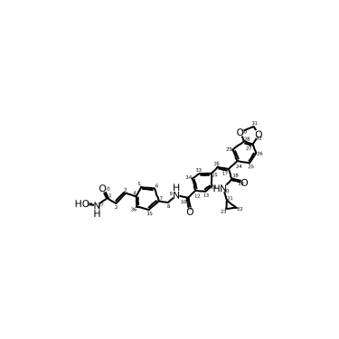 O=C(/C=C/c1ccc(CNC(=O)c2ccc(C=C(C(=O)NC3CC3)c3ccc4c(c3)OCO4)cc2)cc1)NO